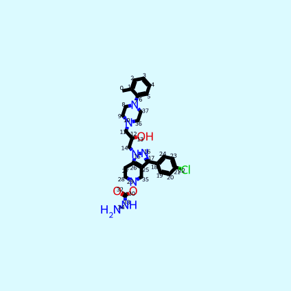 Cc1ccccc1N1CCN(CC(O)Cn2nc(-c3ccc(Cl)cc3)c3c2CCN(OC(=O)NN)C3)CC1